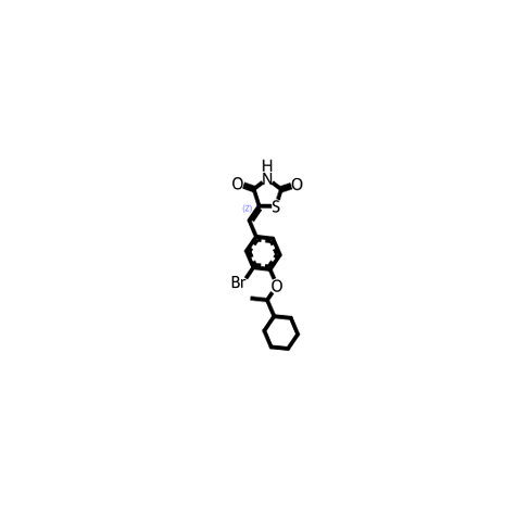 CC(Oc1ccc(/C=C2\SC(=O)NC2=O)cc1Br)C1CCCCC1